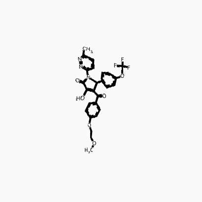 COCCOc1ccc(C(=O)C2=C(O)C(=O)N(c3ccc(C)nn3)C2c2ccc(OC(F)(F)F)cc2)cc1